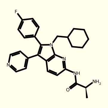 C[C@H](N)C(=O)Nc1ccc2c(-c3ccncc3)c(-c3ccc(F)cc3)n(CC3CCCCC3)c2n1